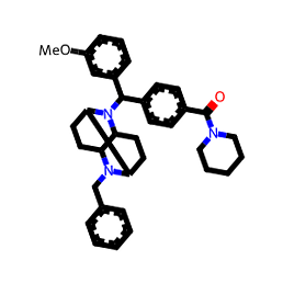 COc1cccc(C(c2ccc(C(=O)N3CCCCC3)cc2)N2C3CCC4C2CCC3N4Cc2ccccc2)c1